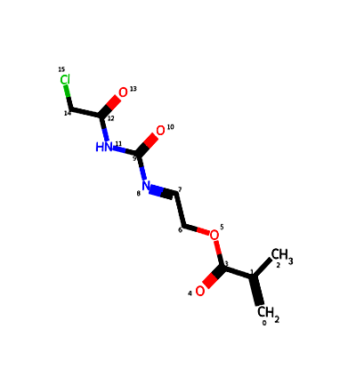 C=C(C)C(=O)OCC=NC(=O)NC(=O)CCl